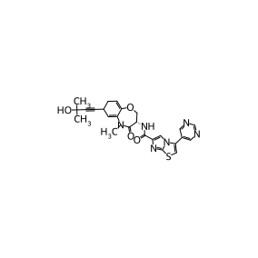 CN1C(=O)[C@@H](NC(=O)c2cn3c(-c4cncnc4)csc3n2)COC2=CCC(C#CC(C)(C)O)C=C21